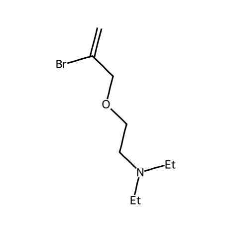 C=C(Br)COCCN(CC)CC